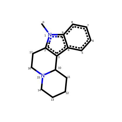 Cn1c2c(c3ccccc31)C1CCCCN1CC2